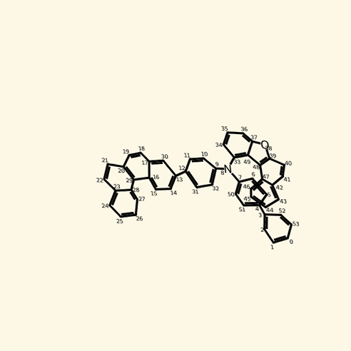 c1ccc(-c2ccc(N(c3ccc(-c4ccc5c(ccc6ccc7ccccc7c65)c4)cc3)c3cccc4oc5ccc6ccccc6c5c34)cc2)cc1